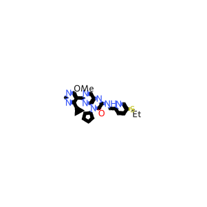 CCSc1ccc(CNc2nc3cnc(-c4c(OC)ncnc4C4CC4)nc3n(C3CCCC3)c2=O)nc1